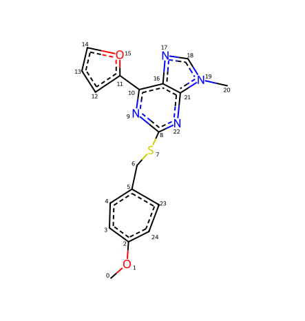 COc1ccc(CSc2nc(-c3ccco3)c3ncn(C)c3n2)cc1